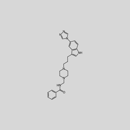 O=C(NCN1CCN(CCCc2c[nH]c3ccc(-n4cnnc4)cc23)CC1)c1ccccc1